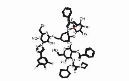 CC1O[C@@H](OC2C(n3cc(-c4ccccc4)nn3)CC(CO[C@H]3OC(CO)[C@@H](O)C(n4cc(-c5cc(F)c(F)c(F)c5)nn4)C3O)C[C@H]2O[C@@H]2OC(CO)[C@H](O)C(O[C@@H](CC3CCCCC3)C(=O)N3CCC3)C2OC(=O)c2ccccc2)C(O)C(O)[C@@H]1O